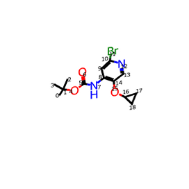 CC(C)(C)OC(=O)Nc1cc(Br)ncc1OC1CC1